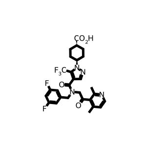 Cc1ccnc(C)c1C(=O)CN(Cc1cc(F)cc(F)c1)C(=O)c1cnn([C@H]2CC[C@H](C(=O)O)CC2)c1C(F)(F)F